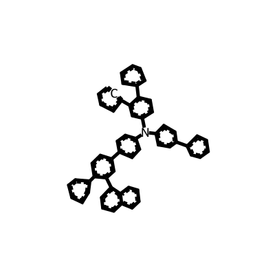 c1ccc(-c2ccc(N(c3ccc(-c4ccc(-c5ccccc5)c(-c5cccc6ccccc56)c4)cc3)c3ccc(-c4ccccc4)c(-c4ccccc4)c3)cc2)cc1